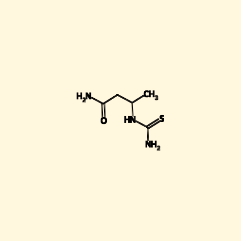 CC(CC(N)=O)NC(N)=S